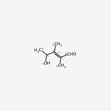 C/C(C=O)=C(/C)C(C)O